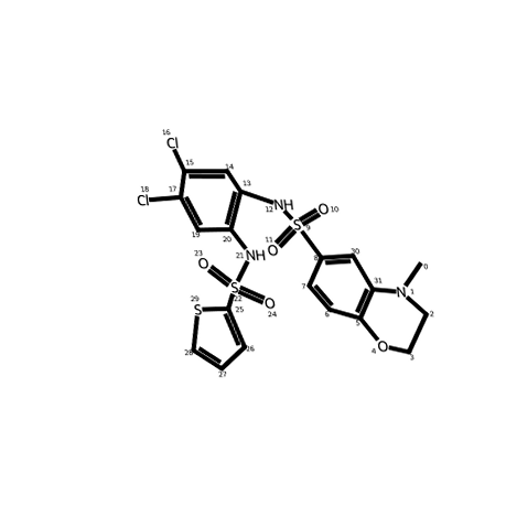 CN1CCOc2ccc(S(=O)(=O)Nc3cc(Cl)c(Cl)cc3NS(=O)(=O)c3cccs3)cc21